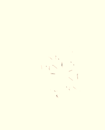 Cn1cc(-c2cc(C(=O)N3CCS(=O)(=O)CC3)ccc2N2CCC3(CC2)CC3)c2cc[nH]c2c1=O